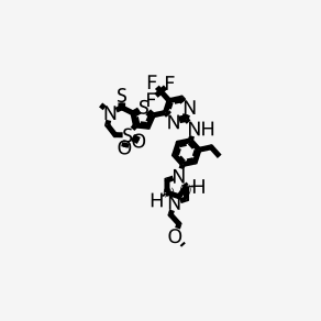 CCc1cc(N2C[C@H]3C[C@@H]2CN3CCOC)ccc1Nc1ncc(C(F)(F)F)c(-c2cc3c(s2)C(=S)N(C)CCS3(=O)=O)n1